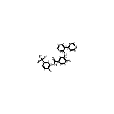 Cc1ccc(C(F)(F)F)cc1NC(=O)c1ccc(C)c(Oc2ncccc2-c2ccncn2)c1